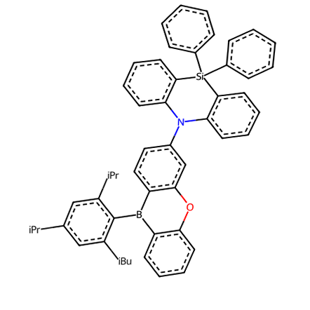 CCC(C)c1cc(C(C)C)cc(C(C)C)c1B1c2ccccc2Oc2cc(N3c4ccccc4[Si](c4ccccc4)(c4ccccc4)c4ccccc43)ccc21